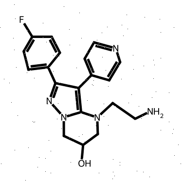 NCCN1CC(O)Cn2nc(-c3ccc(F)cc3)c(-c3ccncc3)c21